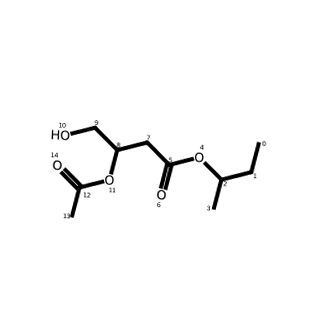 CCC(C)OC(=O)CC(CO)OC(C)=O